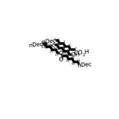 CCCCCCCCCCCCCCCCCC(=O)O.CCCCCCCCCCCCCCCCO.CCCCCCCCCCCCCCCCOC(=O)CCCCCCCCCCCCCCC